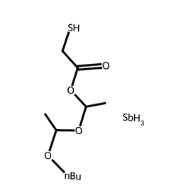 CCCCOC(C)OC(C)OC(=O)CS.[SbH3]